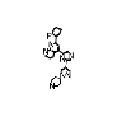 CN1CCC(n2cc(-c3cncc(-c4cc(-c5ccccc5F)nc5ncccc45)n3)cn2)CC1